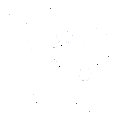 CCOC(=O)c1ccc2c(c1)C(NC(=O)OCc1ccccc1)C(C)C(C1CC1)N2